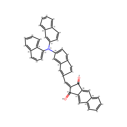 O=C1C(=Cc2ccc3ccc(N(c4ccc5ccccc5c4)c4cccc5ccccc45)cc3c2)C(=O)c2cc3ccccc3cc21